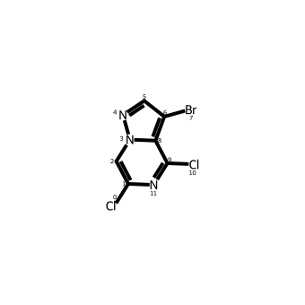 Clc1cn2ncc(Br)c2c(Cl)n1